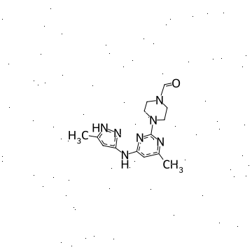 Cc1cc(Nc2cc(C)[nH]n2)nc(N2CCN(C=O)CC2)n1